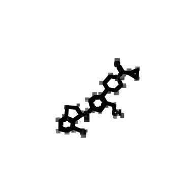 CCc1cc(NC2CCc3cccc(Br)c32)ccc1C1CCN(C(=O)C2CC2)CC1